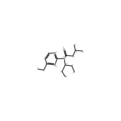 CCc1ccnc(N(C(=O)CC(C)C)C(CC)CC)n1